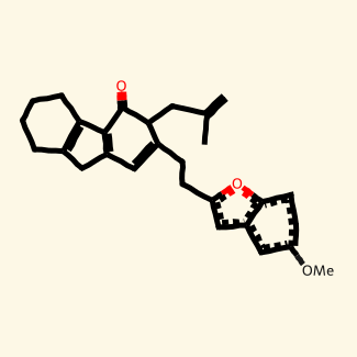 C=C(C)CC1C(=O)C2=C(C=C1CCc1cc3cc(OC)ccc3o1)CC1=C2CCCC1